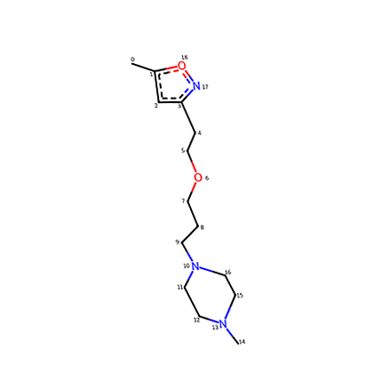 Cc1cc(CCOCCCN2CCN(C)CC2)no1